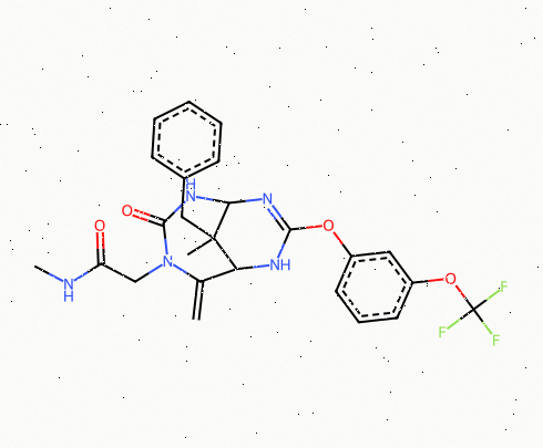 C=C1C2NC(Oc3cccc(OC(F)(F)F)c3)=NC(NC(=O)N1CC(=O)NC)C2(C)Cc1ccccc1